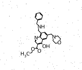 CCOC(=O)c1cnc2c(CNCc3ccccc3)cc(CN3CCOCC3)cc2c1O